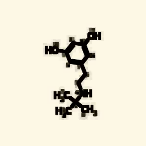 CC(C)(C)N[CH][CH]c1cc(O)cc(O)c1